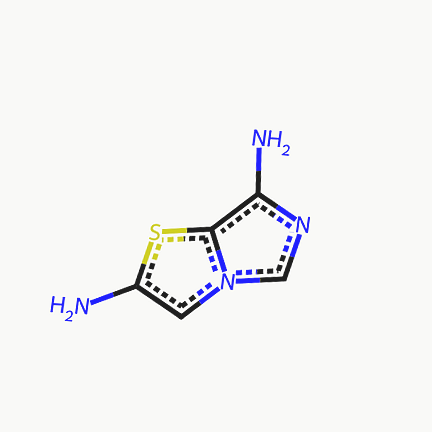 Nc1cn2cnc(N)c2s1